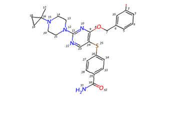 COc1cccc(COc2nc(N3CCN(C4(C)CC4)CC3)ncc2Sc2ccc(C(N)=O)cc2)c1